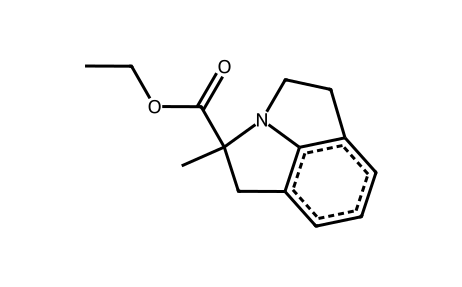 CCOC(=O)C1(C)Cc2cccc3c2N1CC3